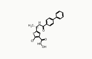 C[C@H](NC(=O)c1ccc(-c2ccccc2)cc1)c1cc(C(=O)NO)c(Cl)s1